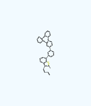 C=C/C=C\c1c(C)sc2c(-c3cccc(-c4ccc5c6ccccc6c6ccccc6c5c4)c3)cccc12